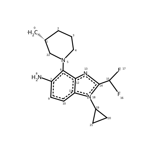 [CH2][C@@H]1CCCN(c2c(N)ccc3c2nc(C(F)F)n3C2CC2)C1